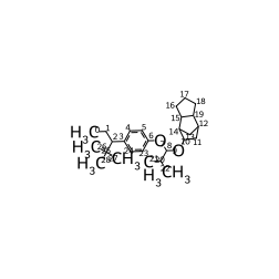 CCC(c1ccc(OC(OC2CC3CC2C2CCCC32)C(C)C)cc1)C(C)(C)C